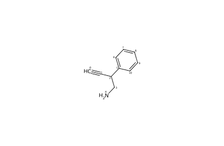 C#CC(CN)c1ccccc1